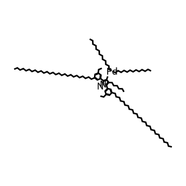 CCCCCCCCCCCCCCCCCCCCCCCCCCCc1cc(CC)cc(C2=C(C)C(CCCCCC)=C(c3cc(CC)cc(CCCCCCCCCCCCCCCCCCCCCCCCCCC)c3)[N+]2=[N-])c1.CCCCCCCCCCCC[CH2][Pd][CH2]CCCCCCCCCCCC